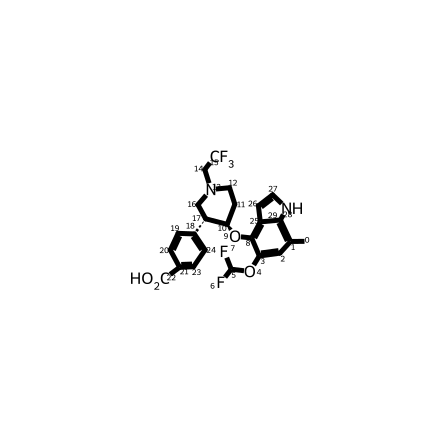 Cc1cc(OC(F)F)c(O[C@@H]2CCN(CC(F)(F)F)C[C@H]2c2ccc(C(=O)O)cc2)c2cc[nH]c12